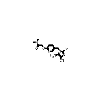 CN(C)C(=O)COc1ccc(Cn2c(Br)nc(C#N)c2N)cn1